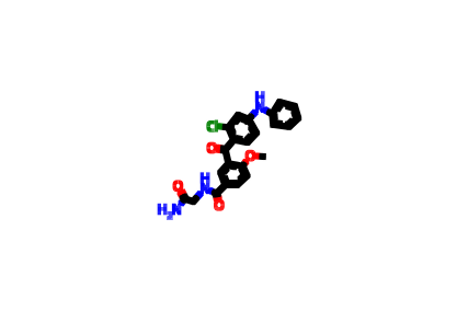 COc1ccc(C(=O)NCC(N)=O)cc1C(=O)c1ccc(Nc2ccccc2)cc1Cl